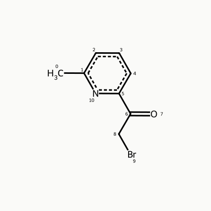 Cc1cccc(C(=O)CBr)n1